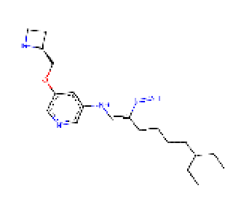 CCC(CC)CCCC/C(=C/Nc1cncc(OC[C@@H]2CCN2)c1)N=N